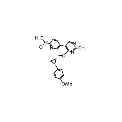 COc1ccc([C@H]2C[C@@H]2COc2nc(C)ncc2-c2ccc([S+](C)[O-])nc2)nc1